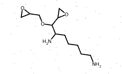 NCCCCCC(N)C(OCC1CO1)C1CO1